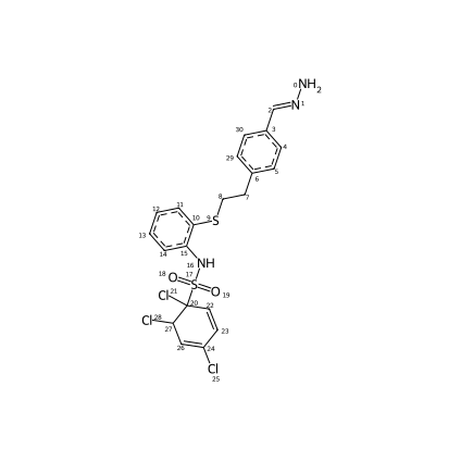 NN=Cc1ccc(CCSc2ccccc2NS(=O)(=O)C2(Cl)C=CC(Cl)=CC2Cl)cc1